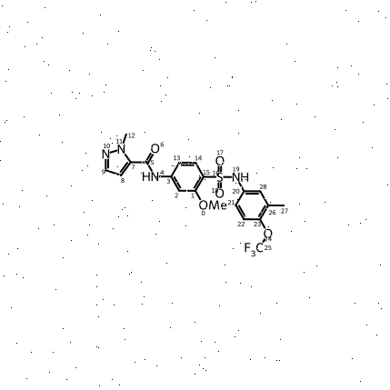 COc1cc(NC(=O)c2ccnn2C)ccc1S(=O)(=O)Nc1ccc(OC(F)(F)F)c(C)c1